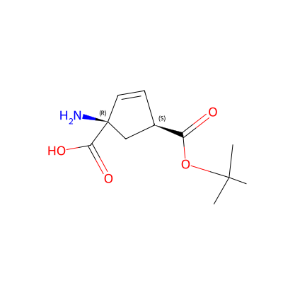 CC(C)(C)OC(=O)[C@@H]1C=C[C@@](N)(C(=O)O)C1